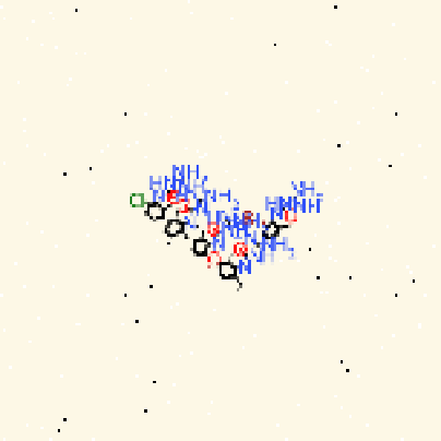 CCc1cccc(C)c1N(C)C(=O)NC(=N)N.COc1cccc(C)c1N(C)C(=O)NC(=N)N.Cc1cccc(Br)c1N(C)C(=O)NC(=N)N.Cc1cccc(C)c1N(C)C(=O)NC(=N)N.Cc1cccc(Cl)c1N(C)C(=O)NC(=N)N